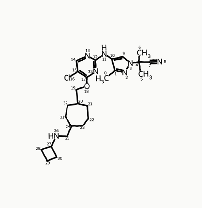 Cc1nn(C(C)(C)C#N)cc1Nc1ncc(Cl)c(OCC2CCCC(CNC3CCC3)CC2)n1